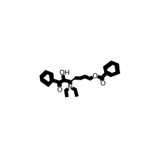 CCN(CC)[C@H](CCCCOC(=O)c1ccccc1)C(O)C(=O)c1ccccc1